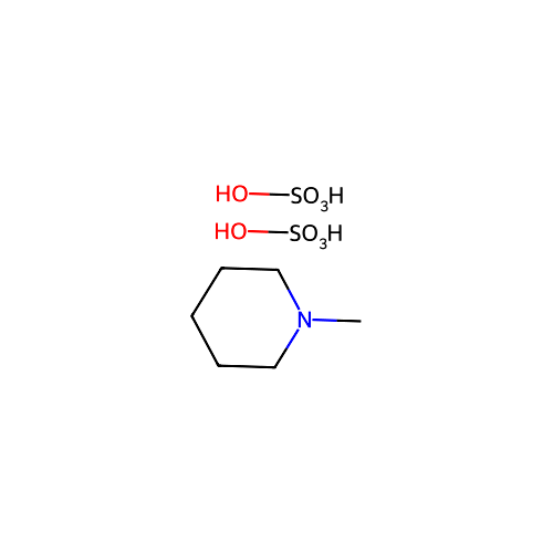 CN1CCCCC1.O=S(=O)(O)O.O=S(=O)(O)O